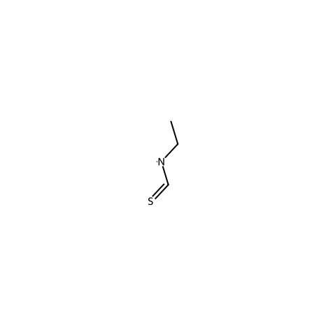 CC[N]C=S